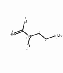 CCC(=N)N(CC)CCNC